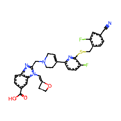 N#Cc1ccc(CSc2nc(C3=CCN(Cc4nc5ccc(C(=O)O)cc5n4C=C4CCO4)CC3)ccc2F)c(F)c1